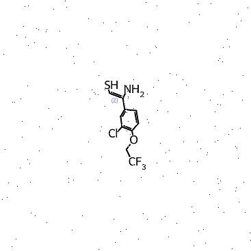 N/C(=C\S)c1ccc(OCC(F)(F)F)c(Cl)c1